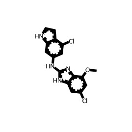 COc1cc(Cl)cc2[nH]c(Nc3cc(Cl)c4cc[nH]c4c3)nc12